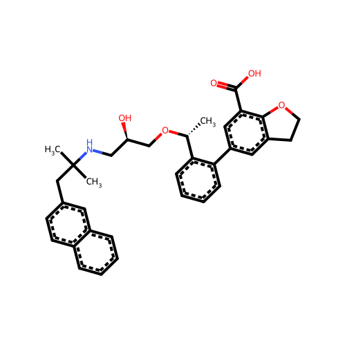 C[C@@H](OC[C@H](O)CNC(C)(C)Cc1ccc2ccccc2c1)c1ccccc1-c1cc2c(c(C(=O)O)c1)OCC2